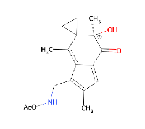 CC(=O)ONCC1=C(C)C=C2C(=O)[C@](C)(O)C3(CC3)C(C)=C21